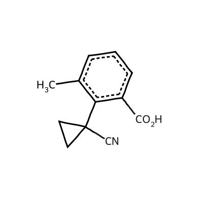 Cc1cccc(C(=O)O)c1C1(C#N)CC1